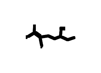 CCN(O)CCC(F)=C(F)F